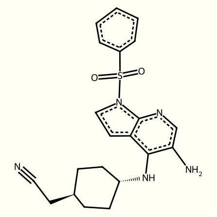 N#CC[C@H]1CC[C@H](Nc2c(N)cnc3c2ccn3S(=O)(=O)c2ccccc2)CC1